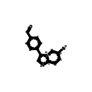 O=Cc1ccc(-c2cnc3ccc(Br)cn23)cc1